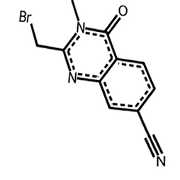 Cn1c(CBr)nc2cc(C#N)ccc2c1=O